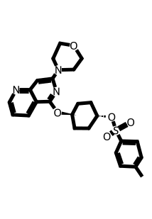 Cc1ccc(S(=O)(=O)O[C@H]2CC[C@H](Oc3nc(N4CCOCC4)cc4ncccc34)CC2)cc1